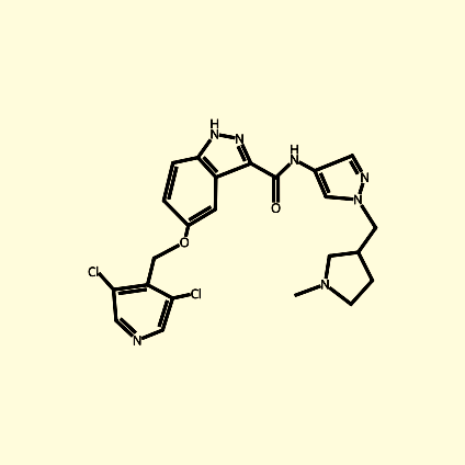 CN1CCC(Cn2cc(NC(=O)c3n[nH]c4ccc(OCc5c(Cl)cncc5Cl)cc34)cn2)C1